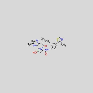 C=C/N=C\C(=N/C)[C@H](C(=O)N1C[C@H](O)C[C@H]1C(=O)NCc1ccc(-c2scnc2C)cc1)C(C)C